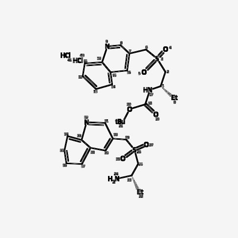 CC[C@@H](CS(=O)(=O)Cc1cnc2ccccc2c1)NC(=O)OC(C)(C)C.CC[C@H](N)CS(=O)(=O)Cc1cnc2ccccc2c1.Cl.Cl